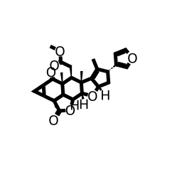 COC(=O)C[C@H]1[C@]2(C)C3=C(C)[C@H](c4ccoc4)C[C@@H]3O[C@@H]2[C@@H]2OC(=O)[C@]3(C)C4CC4C(=O)[C@@]1(C)C23